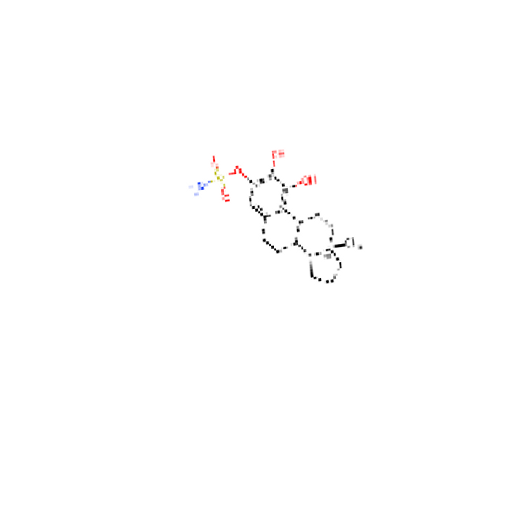 C[C@@]12CCCC1C1CCc3cc(OS(N)(=O)=O)c(O)c(O)c3C1CC2